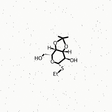 CCS[C@@H]1O[C@H](CO)[C@@H]2OC(C)(C)O[C@@H]2[C@H]1O